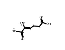 NC(=CCCC(=O)O)C(=O)O